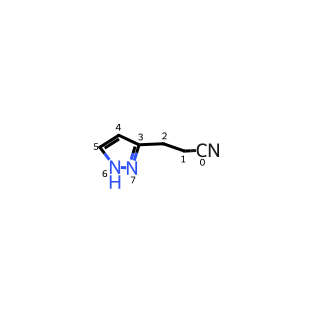 N#CCCc1cc[nH]n1